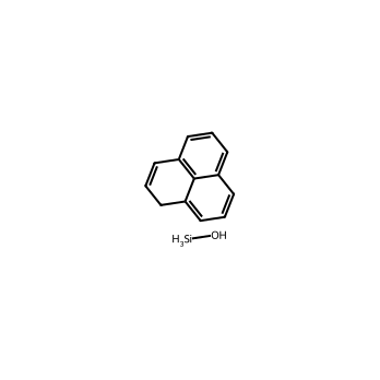 C1=Cc2cccc3cccc(c23)C1.O[SiH3]